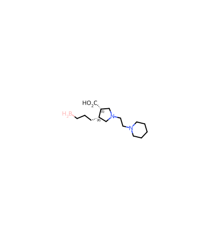 BCCC[C@H]1CN(CCN2CCCCC2)C[C@H]1C(=O)O